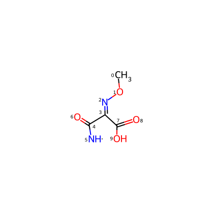 CON=C(C([NH])=O)C(=O)O